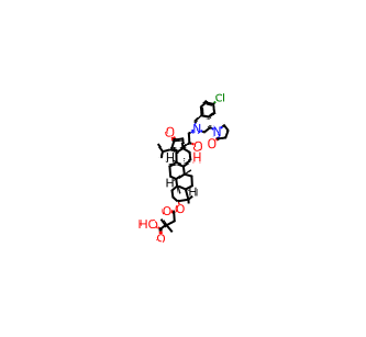 CC(C)C1=C2[C@H]3CC[C@@H]4[C@@]5(C)CC[C@H](OC(=O)CC(C)(C)C(=O)O)C(C)(C)[C@@H]5CC[C@@]4(C)[C@]3(C)CCC2(C(O)CN(CCN2CCCC2=O)Cc2ccc(Cl)cc2)CC1=O